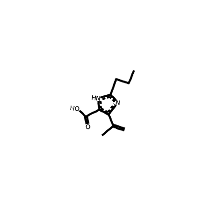 C=C(C)c1nc(CCC)[nH]c1C(=O)O